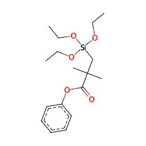 CCO[Si](CC(C)(C)C(=O)Oc1ccccc1)(OCC)OCC